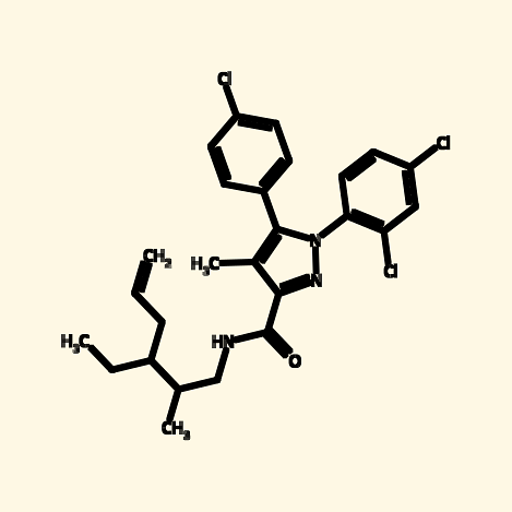 C=CCC(CC)C(C)CNC(=O)c1nn(-c2ccc(Cl)cc2Cl)c(-c2ccc(Cl)cc2)c1C